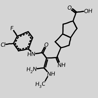 CN/C(N)=C(\C(=N)C1CC2CC(C(=O)O)CC2C1)C(=O)Nc1ccc(F)c(Cl)c1